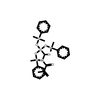 C=C(C)C(=O)NC(CC)[Si](O[Si](C)(C)c1ccccc1)(O[Si](C)(C)c1ccccc1)O[Si](C)(C)c1ccccc1